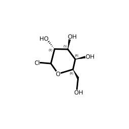 OC[C@H]1OC(Cl)[C@H](O)[C@@H](O)[C@H]1O